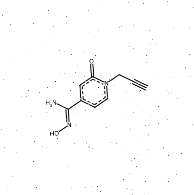 C#CCn1ccc(C(N)=NO)cc1=O